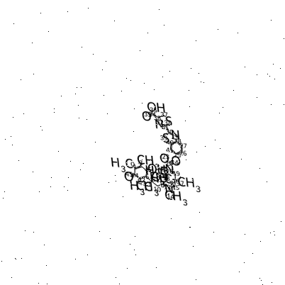 CC1=C(C)C(O)C(C(C)(C)CC(=O)N(C)CC(C)(C)CN(C)C(=O)Oc2ccc3nc(C4=N[C@@H](C(=O)O)CS4)sc3c2)=C(C)C1=O